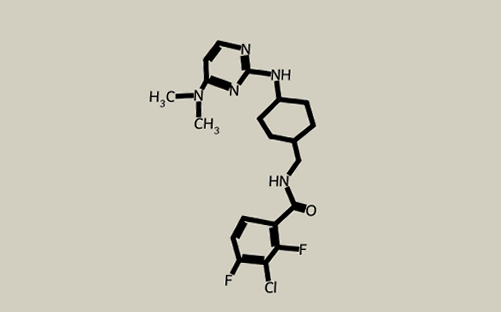 CN(C)c1ccnc(NC2CCC(CNC(=O)c3ccc(F)c(Cl)c3F)CC2)n1